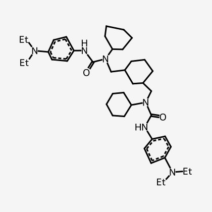 CCN(CC)c1ccc(NC(=O)N(CC2CCCC(CN(C(=O)Nc3ccc(N(CC)CC)cc3)C3CCCCC3)C2)C2CCCCC2)cc1